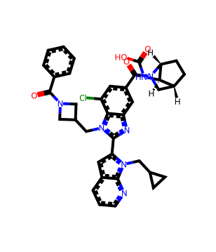 O=C(O)N[C@@H]1[C@@H]2CC[C@H]1N(C(=O)c1cc(Cl)c3c(c1)nc(-c1cc4cccnc4n1CC1CC1)n3CC1CN(C(=O)c3ccccc3)C1)C2